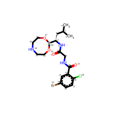 CC(C)C[C@H](NC(=O)CNC(=O)c1cc(Br)ccc1Cl)B1OCCNCCO1